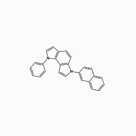 c1ccc(-n2ccc3ccc4c(ccn4-c4ccc5ccccc5c4)c32)cc1